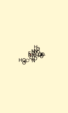 CCOP(=O)(Cc1ccc(Nc2ncc(C(F)(F)F)c(Nc3ccc(C4CCC(C)(C(=O)O)CC4)c4c3C(=O)N(C)C4)n2)c(OC)c1)OCC